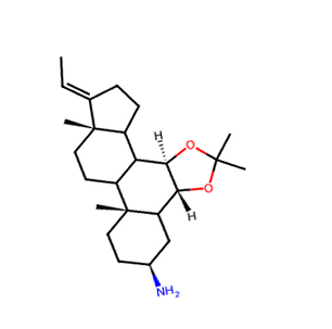 C/C=C1\CCC2C3C(CC[C@]12C)[C@@]1(C)CC[C@H](N)CC1[C@H]1OC(C)(C)O[C@H]31